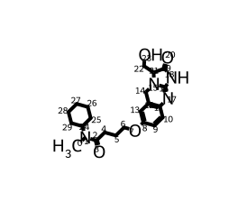 CN(C(=O)CCCOc1ccc2c(c1)CN1C(=N2)NC(=O)C1CO)C1CCCCC1